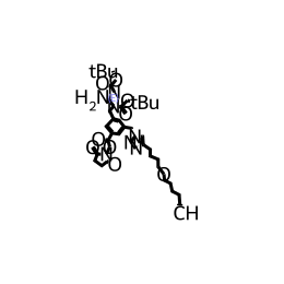 C#CCCCCOCCCCc1cn(Cc2cc(CN(C(=O)OC(C)(C)C)/C(N)=N/C(=O)OC(C)(C)C)cc(C(=O)ON3C(=O)CCC3=O)c2)nn1